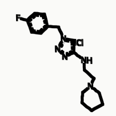 Cl.Fc1ccc(Cn2cc(NCCN3CCCCC3)nn2)cc1